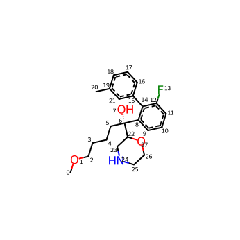 COCCCC[C@@](O)(c1cccc(F)c1-c1cccc(C)c1)C1CNCCO1